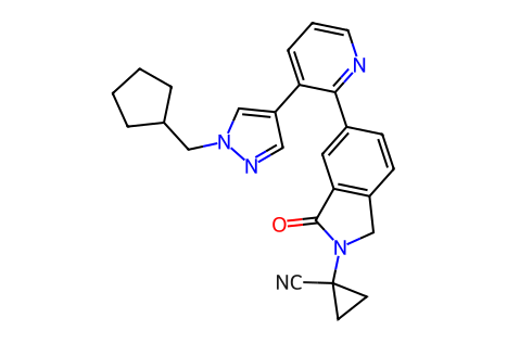 N#CC1(N2Cc3ccc(-c4ncccc4-c4cnn(CC5CCCC5)c4)cc3C2=O)CC1